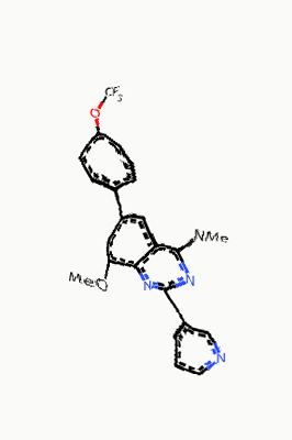 CNc1nc(-c2cccnc2)nc2c(OC)cc(-c3ccc(OC(F)(F)F)cc3)cc12